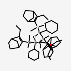 CCC1=C([Si](C)(C)[Si](O[Si](C2CCCCC2)([Si](C)(C)C2=C(CC)C3CCC2C3)[Si](C)(C)C2=C(CC)C3CCC2C3)(C2CCCCC2)[Si](C)(C)C2=C(CC)C3CCC2C3)C2CCC1C2